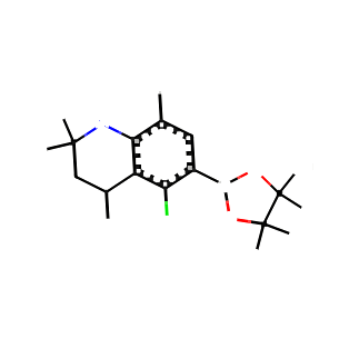 Cc1cc(B2OC(C)(C)C(C)(C)O2)c(Cl)c2c1NC(C)(C)CC2C